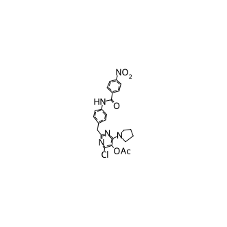 CC(=O)Oc1c(Cl)nc(Cc2ccc(NC(=O)c3ccc([N+](=O)[O-])cc3)cc2)nc1N1CCCC1